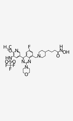 COc1ncc(-c2nc(N3CCOCC3)nc3c(CN4CCC(CCCC(=O)NO)CC4)cc(F)cc23)cc1NS(=O)(=O)C(F)(F)F